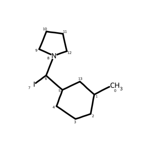 CC1CCCC(C(I)N2CCCC2)C1